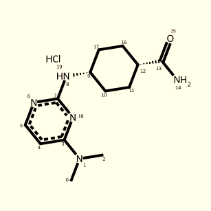 CN(C)c1ccnc(N[C@H]2CC[C@@H](C(N)=O)CC2)n1.Cl